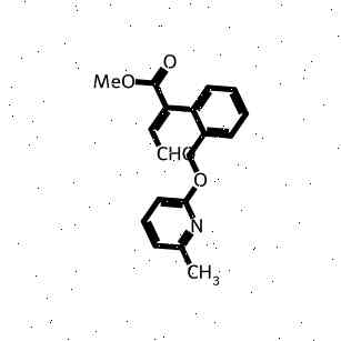 COC(=O)/C(=C/C=O)c1ccccc1COc1cccc(C)n1